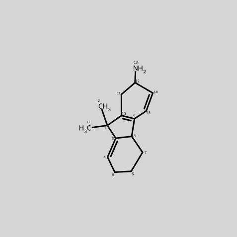 CC1(C)C2=CCCCC2C2=C1CC(N)C=C2